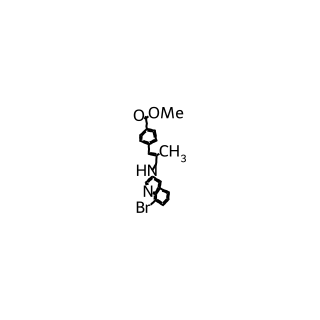 COC(=O)c1ccc(C=C(C)CNc2cnc3c(Br)cccc3c2)cc1